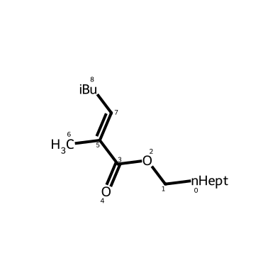 CCCCCCCCOC(=O)C(C)=CC(C)CC